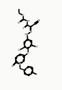 CCOC(=O)NC(=O)C(C#N)=NNc1cc(Cl)c(Oc2ccc(=O)n(Cc3ccc(F)cc3)c2)c(Cl)c1